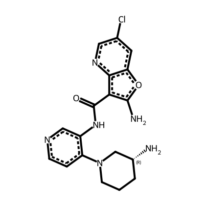 Nc1oc2cc(Cl)cnc2c1C(=O)Nc1cnccc1N1CCC[C@@H](N)C1